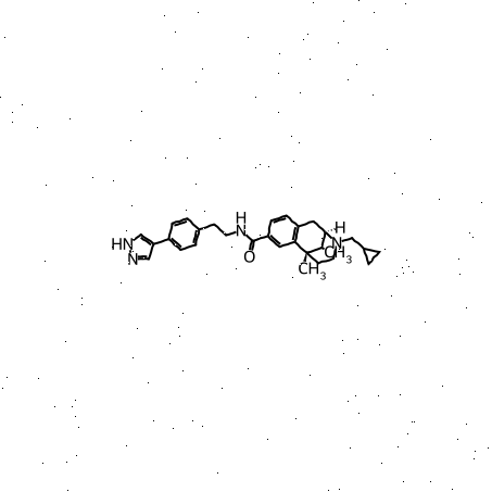 CC1[C@H]2Cc3ccc(C(=O)NCCc4ccc(-c5cn[nH]c5)cc4)cc3[C@@]1(C)CCN2CC1CC1